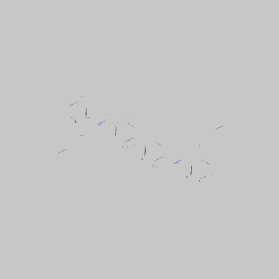 C=CCCc1ccccc1/C=C/c1ccc(-c2ccc(/C=C/c3ccccc3CCC=C)cc2)cc1